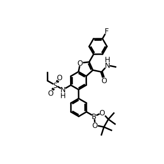 CCS(=O)(=O)Nc1cc2oc(-c3ccc(F)cc3)c(C(=O)NC)c2cc1-c1cccc(B2OC(C)(C)C(C)(C)O2)c1